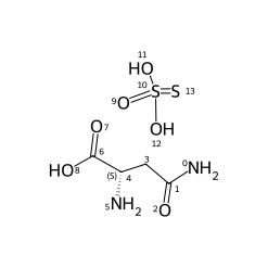 NC(=O)C[C@H](N)C(=O)O.O=S(O)(O)=S